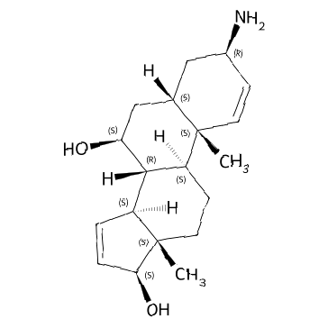 C[C@]12C=C[C@H](N)C[C@H]1C[C@H](O)[C@@H]1[C@@H]2CC[C@]2(C)[C@@H](O)C=C[C@@H]12